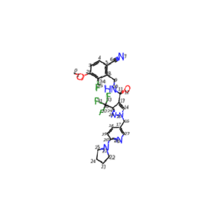 COc1ccc(C#N)c(CNC(=O)c2cn(Cc3ccc(N4CCCC4)nc3)nc2C(F)(F)F)c1F